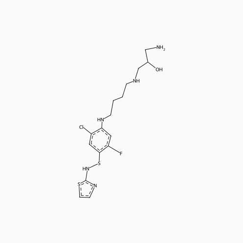 NCC(O)CNCCCCNc1cc(F)c(SNc2nccs2)cc1Cl